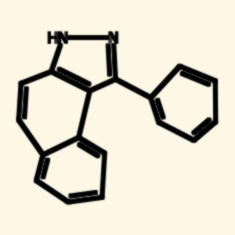 c1ccc(-c2n[nH]c3ccc4ccccc4c23)cc1